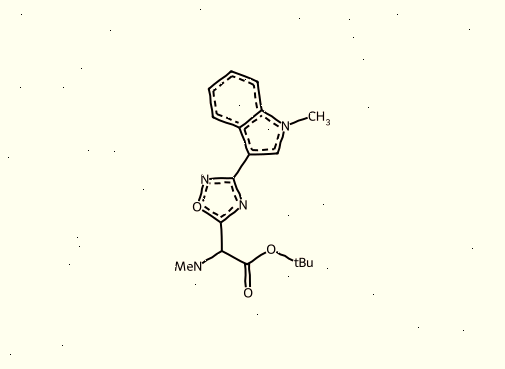 CNC(C(=O)OC(C)(C)C)c1nc(-c2cn(C)c3ccccc23)no1